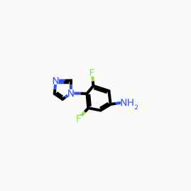 Nc1cc(F)c(-n2ccnc2)c(F)c1